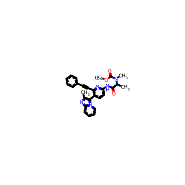 Cc1nc2ccccn2c1-c1ccc(NC(=O)C(C)N(C)C(=O)OC(C)(C)C)nc1C#Cc1ccccc1